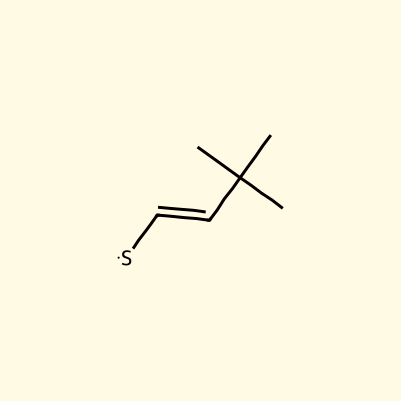 CC(C)(C)C=C[S]